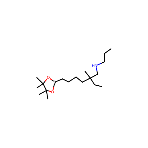 CCCNCC(C)(CC)CCCCB1OC(C)(C)C(C)(C)O1